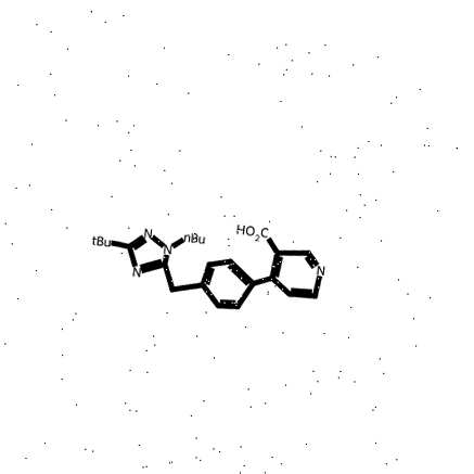 CCCCn1nc(C(C)(C)C)nc1Cc1ccc(-c2ccncc2C(=O)O)cc1